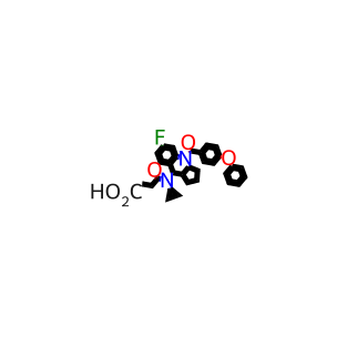 O=C(O)CCC(=O)N(C1CC1)C1c2ccc(F)cc2N(C(=O)c2ccc(Oc3ccccc3)cc2)C2CCCC21